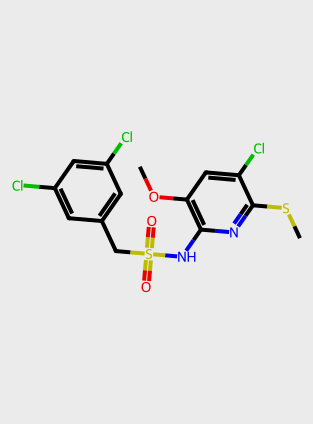 COc1cc(Cl)c(SC)nc1NS(=O)(=O)Cc1cc(Cl)cc(Cl)c1